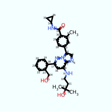 Cc1cc(-c2cnc3c(NCCC(C)(C)O)cc(-c4ccccc4CO)nn23)ccc1C(=O)NC1CC1